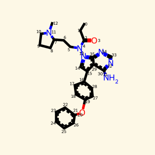 CCC(=O)N(CCC1CCCN1C)n1cc(-c2ccc(Oc3ccccc3)cc2)c2c(N)ncnc21